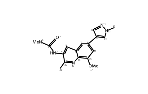 CNC(=O)Nc1cc2cc(-c3cnn(C)c3)cc(OC)c2nc1C